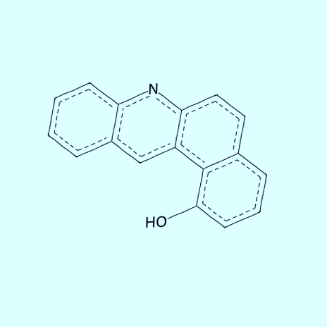 Oc1cccc2ccc3nc4ccccc4cc3c12